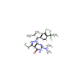 CC(C)[C@H](c1ccc(C(C)(F)F)c(F)c1)n1nc(CF)c2c(=O)[nH]c(N(C)C)nc21